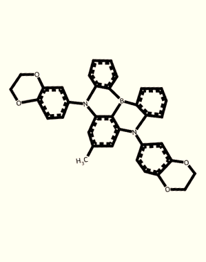 Cc1cc2c3c(c1)N(c1ccc4c(c1)OCCO4)c1ccccc1B3c1ccccc1N2c1ccc2c(c1)OCCO2